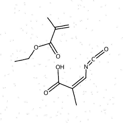 C=C(C)C(=O)OCC.CC(=CN=C=O)C(=O)O